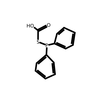 O=C(O)SP(c1ccccc1)c1ccccc1